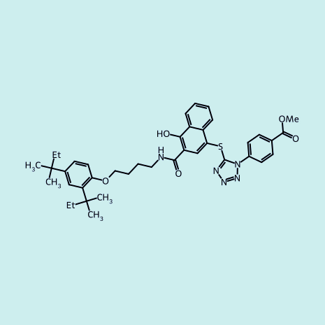 CCC(C)(C)c1ccc(OCCCCNC(=O)c2cc(Sc3nnnn3-c3ccc(C(=O)OC)cc3)c3ccccc3c2O)c(C(C)(C)CC)c1